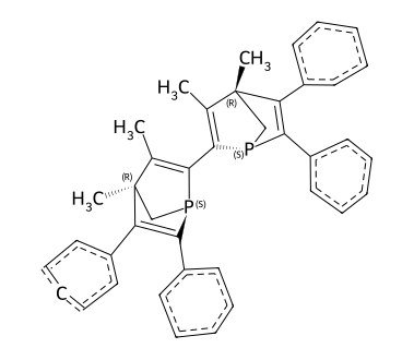 CC1=C(C2=C(C)[C@@]3(C)C[P@]2C(c2ccccc2)=C3c2ccccc2)[P@]2C[C@@]1(C)C(c1ccccc1)=C2c1ccccc1